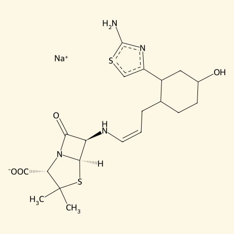 CC1(C)S[C@@H]2[C@H](N/C=C\CC3CCC(O)CC3c3csc(N)n3)C(=O)N2[C@H]1C(=O)[O-].[Na+]